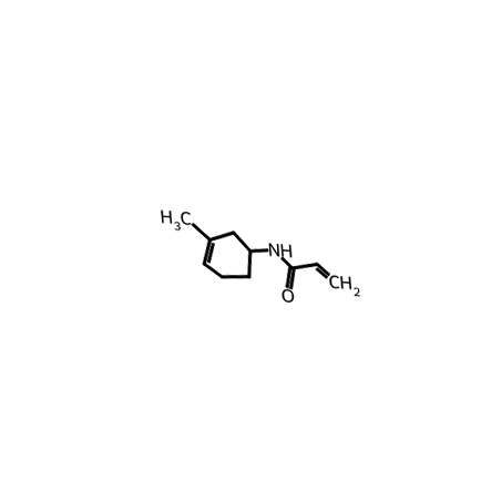 C=CC(=O)NC1CCC=C(C)C1